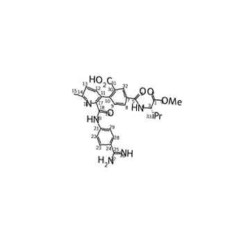 COC(=O)[C@@H](NC(=O)c1ccc(-c2ccc(C)nc2C(=O)Nc2ccc(C(=N)N)cc2)c(C(=O)O)c1)C(C)C